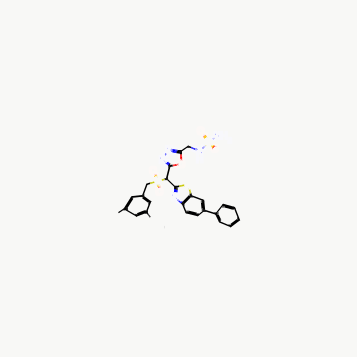 Cc1cc(CS(=O)(=O)C(c2nnc(CNS(N)(=O)=O)o2)c2nc3ccc(-c4ccccc4)cc3s2)cc(C(F)(F)F)c1